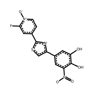 O=[N+]([O-])c1cc(-c2csc(-c3cc[n+]([O-])c(F)c3)n2)cc(O)c1O